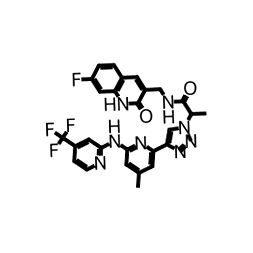 Cc1cc(Nc2cc(C(F)(F)F)ccn2)nc(-c2cn(C(C)C(=O)NCc3cc4ccc(F)cc4[nH]c3=O)nn2)c1